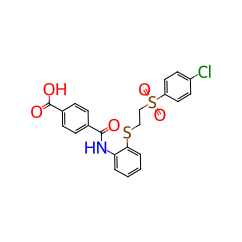 O=C(O)c1ccc(C(=O)Nc2ccccc2SCCS(=O)(=O)c2ccc(Cl)cc2)cc1